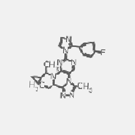 CC[C@@H]1c2nnc(C)n2-c2cnc(-n3ccnc3-c3ccc(F)cc3)nc2N1C(C)C1CC1